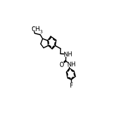 CCCC1CCc2cc(CCNC(=O)Nc3ccc(F)cc3)ccc21